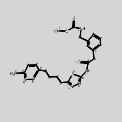 CC(C)(C)OC(=O)NCc1cccc(CC(=O)Nc2nnc(CCCCc3ccc(N)nn3)s2)c1